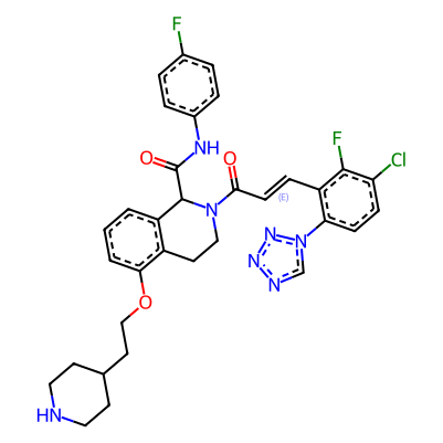 O=C(Nc1ccc(F)cc1)C1c2cccc(OCCC3CCNCC3)c2CCN1C(=O)/C=C/c1c(-n2cnnn2)ccc(Cl)c1F